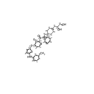 Cc1ccnc(Nc2ncc(Sc3ccnc(C(=O)NCC4(c5ccncc5)CCN(CC(O)CO)CC4)c3F)s2)c1